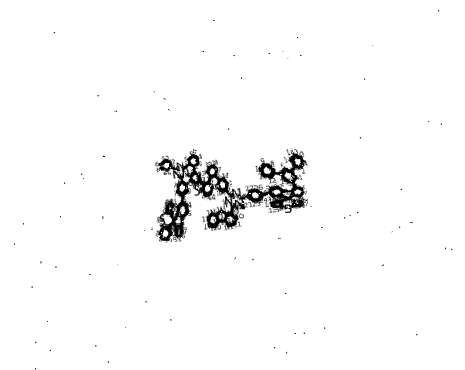 c1ccc(-c2cc(-c3ccccc3)cc(-c3cccc4c3-c3ccc(-c5ccc(-c6nc(-c7ccc(-c8ccccc8-c8cccc9sc%10ccc(-c%11ccccc%11-c%11nc(-c%12ccccc%12)nc(-c%12ccc(-c%13ccc%14c(c%13)C%13(c%15ccccc%15Sc%15ccccc%15%13)c%13ccccc%13-%14)cc%12)n%11)cc%10c89)cc7)nc(-c7cccc8c7Cc7ccccc7-8)n6)cc5)cc3C43c4ccccc4Sc4ccccc43)c2)cc1